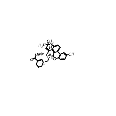 COC(=O)C1=C[C@@H](CO[C@H]2Oc3ccc(O)cc3-c3ccc4c(c32)C(C)=CC(C)(C)N4)CCC1